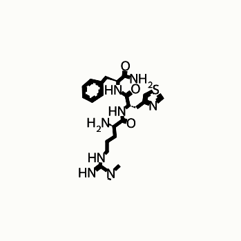 CN(C)C(=N)NCCC[C@H](N)C(=O)N[C@@H](Cc1cscn1)C(=O)N[C@@H](Cc1ccccc1)C(N)=O